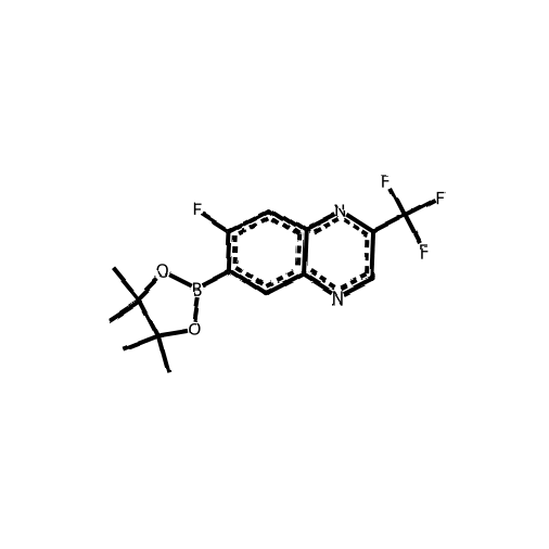 CC1(C)OB(c2cc3ncc(C(F)(F)F)nc3cc2F)OC1(C)C